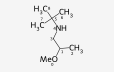 COC(C)CNC(C)(C)C